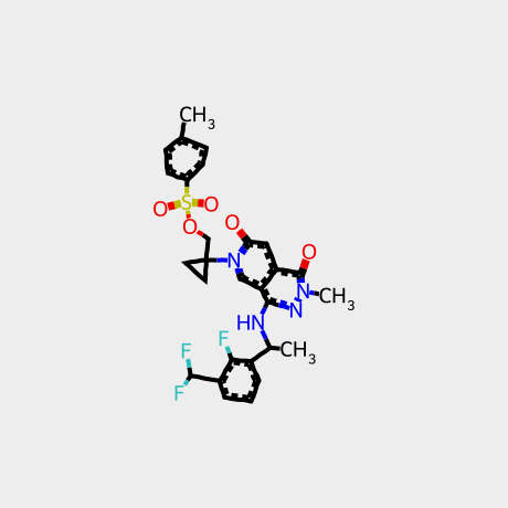 Cc1ccc(S(=O)(=O)OCC2(n3cc4c(NC(C)c5cccc(C(F)F)c5F)nn(C)c(=O)c4cc3=O)CC2)cc1